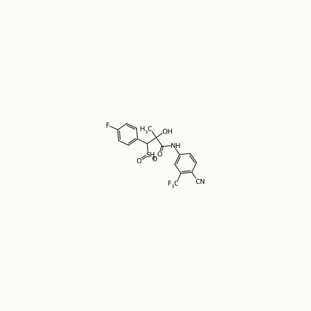 CC(O)(C(=O)Nc1ccc(C#N)c(C(F)(F)F)c1)C(c1ccc(F)cc1)[SH](=O)=O